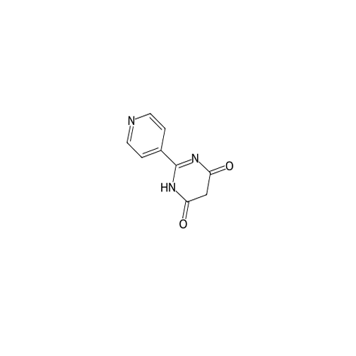 O=C1CC(=O)NC(c2ccncc2)=N1